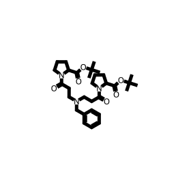 CC(C)(C)OC(=O)C1CCCN1C(=O)CCN(CCC(=O)N1CCCC1C(=O)OC(C)(C)C)Cc1ccccc1